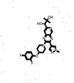 Cn1cc(-c2nc3cnc([C@@H](O)C(C)(C)O)cc3nc2N2CCC(Oc3ccc(F)cc3F)CC2)cn1